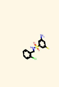 Nc1cc([S])cc(S(=O)(=O)NCc2ccccc2Cl)c1